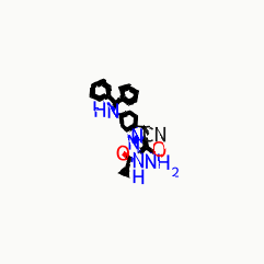 N#CC[C@]1(n2cc(C(N)=O)c(NC(=O)C3CC3)n2)CC[C@H](NC(c2ccccc2)c2ccccc2)CC1